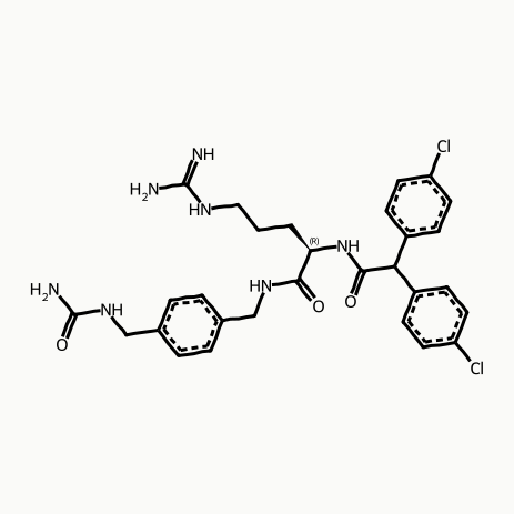 N=C(N)NCCC[C@@H](NC(=O)C(c1ccc(Cl)cc1)c1ccc(Cl)cc1)C(=O)NCc1ccc(CNC(N)=O)cc1